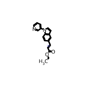 CCOC(=O)/C=C/c1ccc2c(ccn2-c2cccnc2)c1